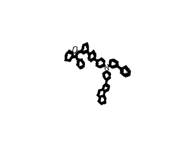 c1ccc(-c2cccc(N(c3ccc(-c4ccc(-c5cccc(-c6oc7ccccc7c6-c6ccccc6)c5)cc4)cc3)c3ccc(-c4ccc5c(ccc6ccccc65)c4)cc3)c2)cc1